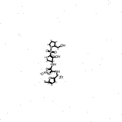 CC[C@@H](Nc1n[s+]([O-])nc1NC1CSC(S(=O)(=O)N2CCCC2CO)=C1O)c1ccc(C)o1